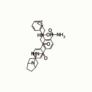 NC(=O)c1ccc(C(=O)NC2CC3CCC(C2)N3c2ccc(C(=O)CC(O)c3ccccc3)cn2)cc1NCC1CC1